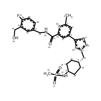 Cc1cc(-c2nnn(C[C@H]3CC[C@H](NS(C)(=O)=O)CC3)n2)cc(C(=O)NCc2ccc(F)c(CO)c2)n1